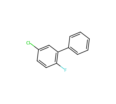 Fc1ccc(Cl)cc1-c1ccccc1